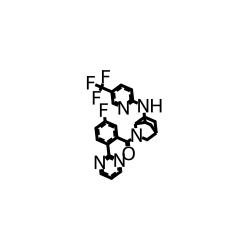 O=C(c1cc(F)ccc1-c1ncccn1)N1CC2CCC1C(Nc1ccc(C(F)(F)F)cn1)C2